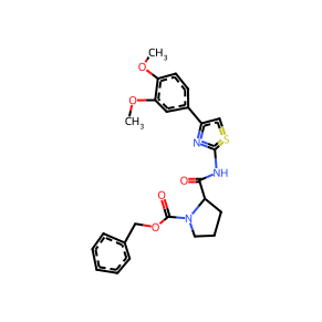 COc1ccc(-c2csc(NC(=O)C3CCCN3C(=O)OCc3ccccc3)n2)cc1OC